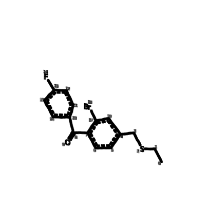 CCSCc1ccc(C(=O)c2ccc(F)cc2)c(Br)c1